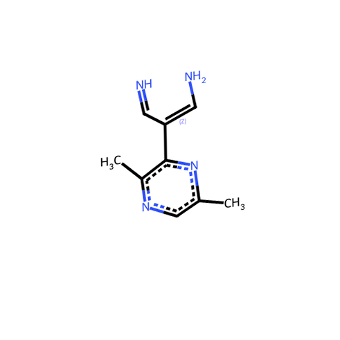 Cc1cnc(C)c(/C(C=N)=C/N)n1